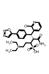 CCN(CC)CCC(C(C(N)=O)[C@H](c1ccc(-c2cnno2)cc1)c1cccnc1Cl)S(=O)(=O)O